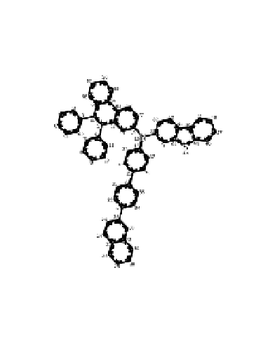 c1ccc(-c2c(-c3ccccc3)c3cc(N(c4ccc(-c5ccc(-c6ccc7ccccc7c6)cc5)cc4)c4ccc5c(c4)sc4ccccc45)ccc3c3ccccc23)cc1